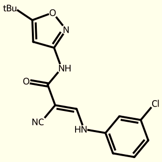 CC(C)(C)c1cc(NC(=O)/C(C#N)=C/Nc2cccc(Cl)c2)no1